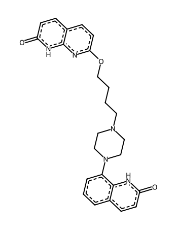 O=c1ccc2ccc(OCCCCN3CCN(c4cccc5ccc(=O)[nH]c45)CC3)nc2[nH]1